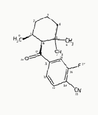 C[C@H]1CCCC(C)(C)[C@H]1C(=O)c1ccc(C#N)c(F)c1